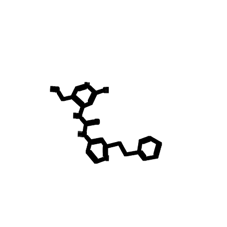 O=C(Nc1ccnc(CCc2ccccc2)c1)Nc1cc(Cl)ncc1CO